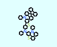 c1ccc(N(c2ccc3c(c2)sc2ccc(N(c4ccccc4)c4cccc5c4-c4ccccc4C54c5ccccc5-c5ccccc54)cc23)c2cc(N(c3ccccc3)c3ccccc3)c3c(c2)sc2ccccc23)cc1